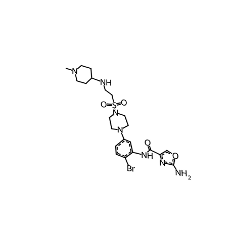 CN1CCC(NCCS(=O)(=O)N2CCN(c3ccc(Br)c(NC(=O)c4coc(N)n4)c3)CC2)CC1